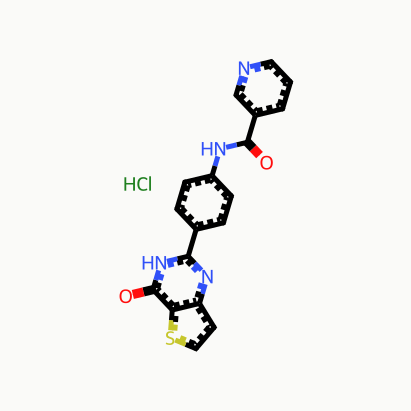 Cl.O=C(Nc1ccc(-c2nc3ccsc3c(=O)[nH]2)cc1)c1cccnc1